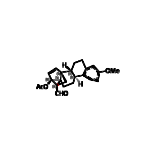 COc1ccc2c(c1)CC[C@@H]1[C@@H]2CC[C@@]2(C)[C@]13C=C[C@@]2(OC(C)=O)[C@H](C=O)C3